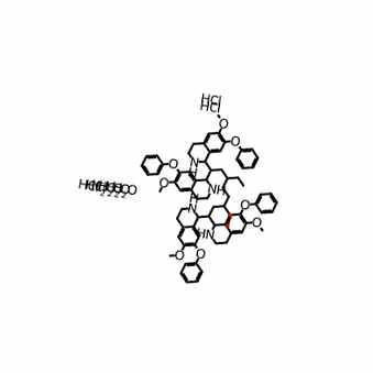 CCC(CCC(CC)CC(C1NCCc2cc(OC)c(Oc3ccccc3)cc21)C1NCCc2cc(OC)c(Oc3ccccc3)cc21)CC(C1NCCc2cc(OC)c(Oc3ccccc3)cc21)C1NCCc2cc(OC)c(Oc3ccccc3)cc21.Cl.Cl.Cl.Cl.O.O.O.O